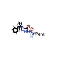 [2H]C([2H])(Cc1ccccc1)NCC(=O)NC(=O)NCCCCC